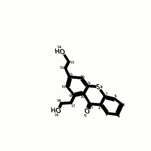 O=c1c2ccccc2sc2cc(CCO)cc(CCO)c12